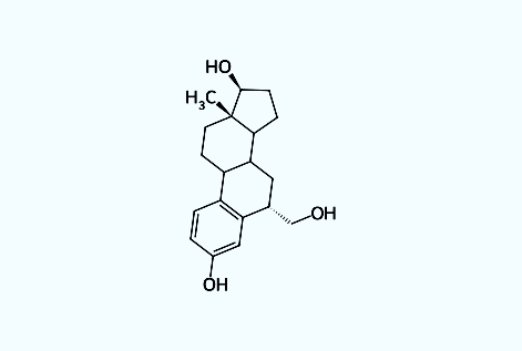 C[C@]12CCC3c4ccc(O)cc4[C@@H](CO)CC3C1CC[C@@H]2O